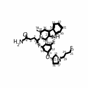 C=C(CCC(N)=O)N1[C@@H](c2c(F)cc(O[C@H]3CCN(CCCF)C3)cc2F)c2[nH]c3ccccc3c2C[C@@H]1C